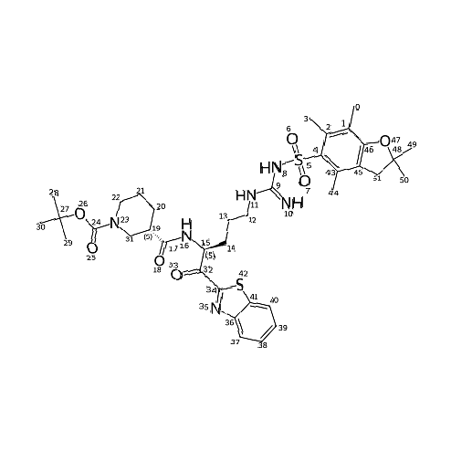 Cc1c(C)c(S(=O)(=O)NC(=N)NCCC[C@H](NC(=O)[C@H]2CCCN(C(=O)OC(C)(C)C)C2)C(=O)c2nc3ccccc3s2)c(C)c2c1OC(C)(C)C2